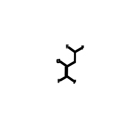 FC(F)=C(Cl)CC(F)F